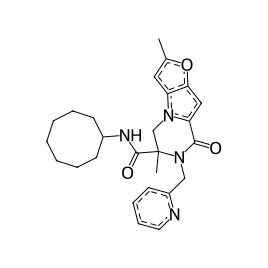 Cc1cc2c(cc3n2CC(C)(C(=O)NC2CCCCCCC2)N(Cc2ccccn2)C3=O)o1